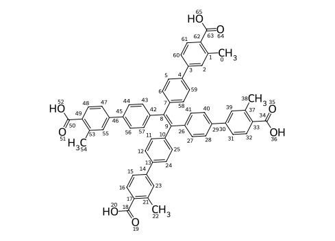 Cc1cc(-c2ccc(C(=C(c3ccc(-c4ccc(C(=O)O)c(C)c4)cc3)c3ccc(-c4ccc(C(=O)O)c(C)c4)cc3)c3ccc(-c4ccc(C(=O)O)c(C)c4)cc3)cc2)ccc1C(=O)O